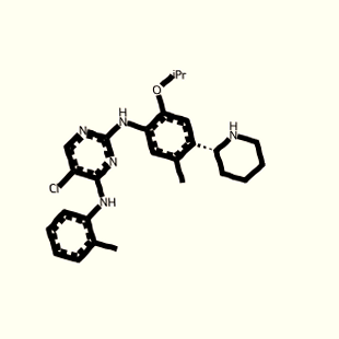 Cc1ccccc1Nc1nc(Nc2cc(C)c([C@H]3CCCCN3)cc2OC(C)C)ncc1Cl